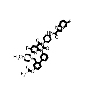 CN1CCN(Cc2cc(OC(=O)C(F)(F)F)ccc2-c2cccc(-n3c(=O)n(C4CCC(NC(=O)c5cn6cc(F)ccc6n5)CC4)c(=O)c4cc(F)cnc43)c2)CC1